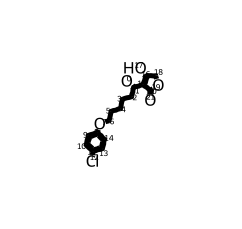 O=C(CCCCCOc1ccc(Cl)cc1)C1=C(O)COC1=O